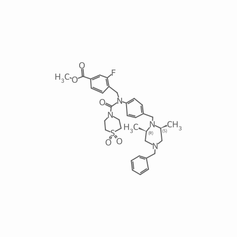 COC(=O)c1ccc(CN(C(=O)N2CCS(=O)(=O)CC2)c2ccc(CN3[C@H](C)CN(Cc4ccccc4)C[C@@H]3C)cc2)c(F)c1